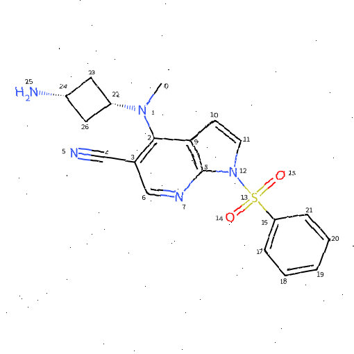 CN(c1c(C#N)cnc2c1ccn2S(=O)(=O)c1ccccc1)[C@H]1C[C@@H](N)C1